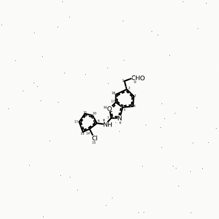 O=CCc1ccc2nc(Nc3ccccc3Cl)oc2c1